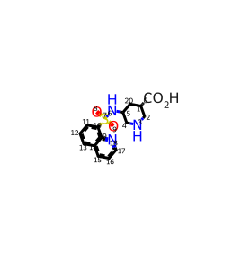 O=C(O)C1CNCC(NS(=O)(=O)c2cccc3cccnc23)C1